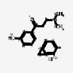 CN(C)CCC(=O)c1cccc(C#N)c1.Cl.c1ccc2c(c1)C2